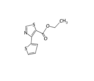 CCOC(=O)c1scnc1-c1cccs1